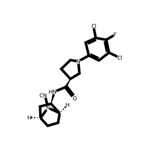 N#CN1[C@H]2CC[C@@H]1[C@H](NC(=O)[C@H]1CCN(c3cc(Cl)c(F)c(Cl)c3)C1)C2